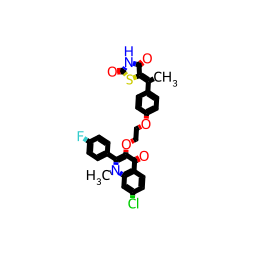 CC(=C1SC(=O)NC1=O)c1ccc(OCCOc2c(-c3ccc(F)cc3)n(C)c3cc(Cl)ccc3c2=O)cc1